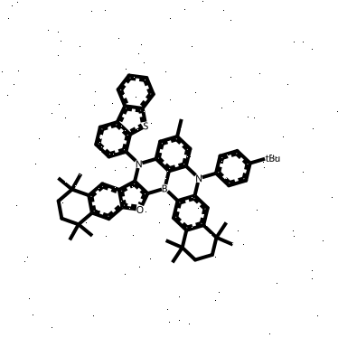 Cc1cc2c3c(c1)N(c1cccc4c1sc1ccccc14)c1c(oc4cc5c(cc14)C(C)(C)CCC5(C)C)B3c1cc3c(cc1N2c1ccc(C(C)(C)C)cc1)C(C)(C)CCC3(C)C